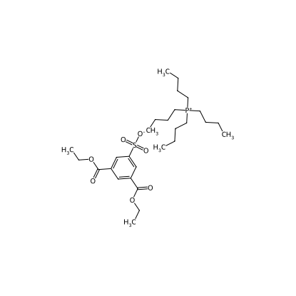 CCCC[P+](CCCC)(CCCC)CCCC.CCOC(=O)c1cc(C(=O)OCC)cc(S(=O)(=O)[O-])c1